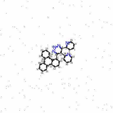 c1ccc(-c2nnnc(-c3cccc4c5ccccc5c5ccccc5c34)c2-c2ccccn2)nc1